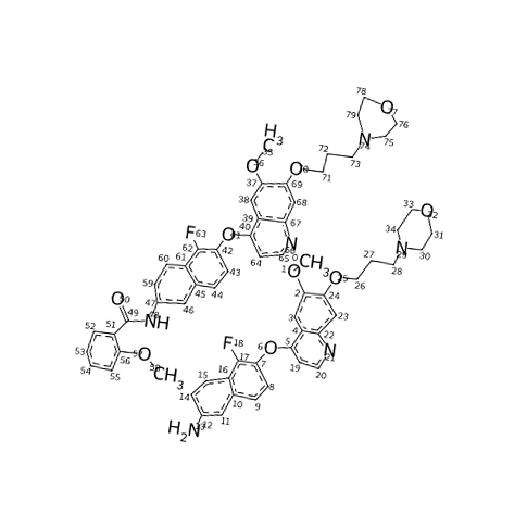 COc1cc2c(Oc3ccc4cc(N)ccc4c3F)ccnc2cc1OCCCN1CCOCC1.COc1cc2c(Oc3ccc4cc(NC(=O)c5ccccc5OC)ccc4c3F)ccnc2cc1OCCCN1CCOCC1